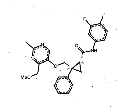 COCc1nc(C)ncc1OC[C@@]1(c2ccccc2)C[C@H]1C(=O)Nc1ccc(F)c(F)c1